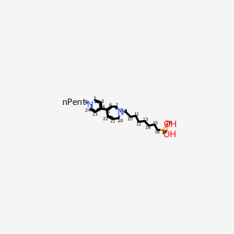 CCCCC[n+]1ccc(C2=CC=[N+](CCCCCCCCP(O)O)CC=C2)cc1